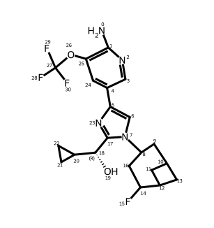 Nc1ncc(-c2cn(C3CC4CC(C4)C(F)C3)c([C@H](O)C3CC3)n2)cc1OC(F)(F)F